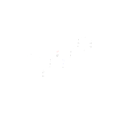 C=CCC(CCCCl)C(=O)N(C)C(C)C(O)c1ccccc1